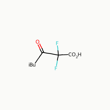 CCC(C)C(=O)C(F)(F)C(=O)O